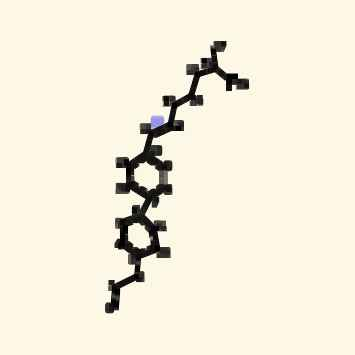 C=CCc1ccc(-c2ccc(/C=C/CCCC(C)F)cc2)cc1